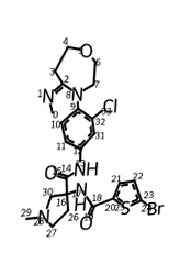 CN=C1CCOCCN1c1ccc(NC(=O)C2(NC(=O)c3ccc(Br)s3)CCN(C)C2)cc1Cl